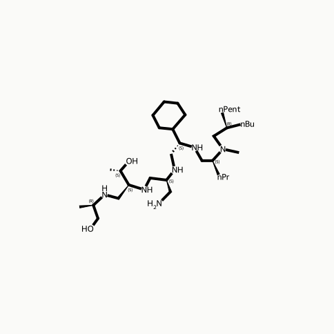 CCCCC[C@@H](CCCC)CN(C)[C@@H](CCC)CN[C@H](CN[C@@H](CN)CN[C@@H](CN[C@H](C)CO)[C@H](C)O)C1CCCCC1